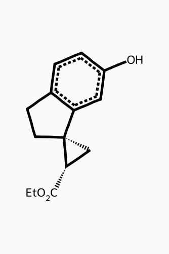 CCOC(=O)[C@H]1C[C@@]12CCc1ccc(O)cc12